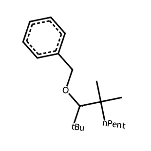 CCCCCC(C)(C)[C](OCc1ccccc1)C(C)(C)C